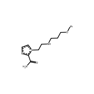 CC(C)OCCCNCCn1c[c]nc1C(N)=O